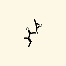 CC=C(C)C(=O)OC1OC1C